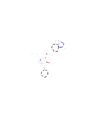 CC1=NN(c2ccccc2)C(=O)C1C(=O)Nc1ccc2[nH]cnc2c1